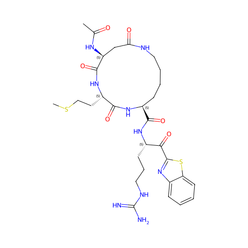 CSCC[C@@H]1NC(=O)[C@@H](NC(C)=O)CC(=O)NCCCC[C@@H](C(=O)N[C@@H](CCCNC(=N)N)C(=O)c2nc3ccccc3s2)NC1=O